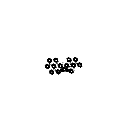 c1ccc(N(c2ccccc2)c2cc3c4c(c2)N(c2ccccc2)c2cc5c(cc2B4c2ccccc2O3)C2(c3cc4c(cc3O5)N(c3ccccc3)c3cc(N(c5ccccc5)c5ccccc5)cc5c3B4c3ccccc3N5c3ccccc3)c3ccccc3-c3ccccc32)cc1